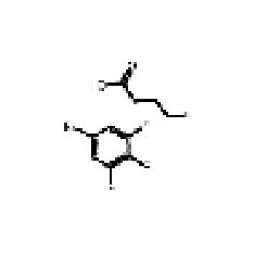 CCCCC(=O)O.Fc1cc(Br)cc(F)c1F